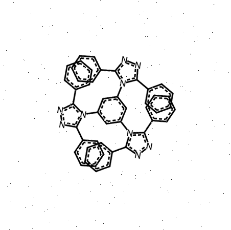 c1ccc(-c2nnc(-c3ccccc3)n2-c2cc(-n3c(-c4ccccc4)nnc3-c3ccccc3)cc(-n3c(-c4ccccc4)nnc3-c3ccccc3)c2)cc1